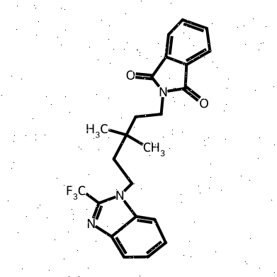 CC(C)(CCN1C(=O)c2ccccc2C1=O)CCn1c(C(F)(F)F)nc2ccccc21